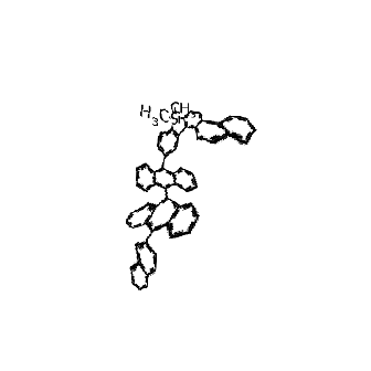 C[Si]1(C)c2ccc(-c3c4ccccc4c(-c4c5ccccc5c(-c5ccc6ccccc6c5)c5ccccc45)c4ccccc34)cc2-c2c1ccc1c2ccc2ccccc21